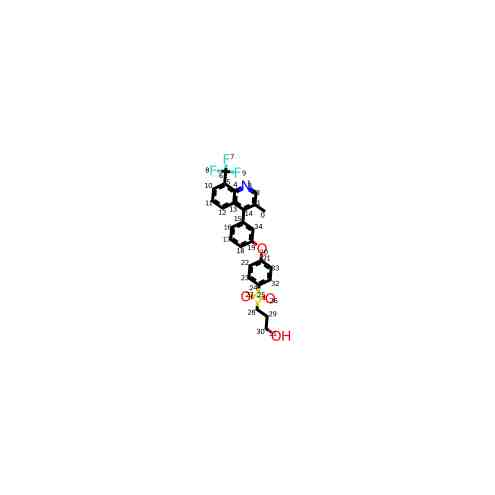 Cc1cnc2c(C(F)(F)F)cccc2c1-c1cccc(Oc2ccc(S(=O)(=O)CCCO)cc2)c1